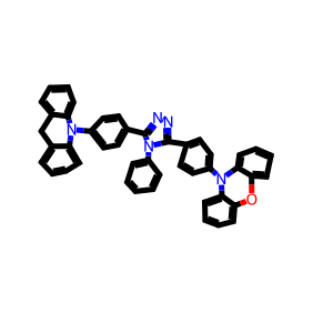 c1ccc(-n2c(-c3ccc(N4c5ccccc5Cc5ccccc54)cc3)nnc2-c2ccc(N3c4ccccc4Oc4ccccc43)cc2)cc1